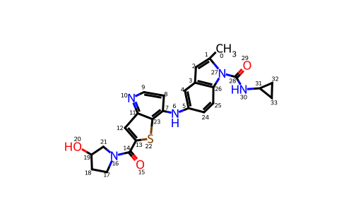 Cc1cc2cc(Nc3ccnc4cc(C(=O)N5CCC(O)C5)sc34)ccc2n1C(=O)NC1CC1